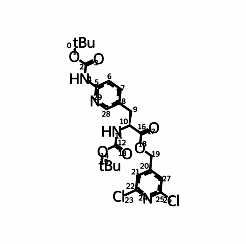 CC(C)(C)OC(=O)Nc1ccc(C[C@H](NC(=O)OC(C)(C)C)C(=O)OCc2cc(Cl)nc(Cl)c2)cn1